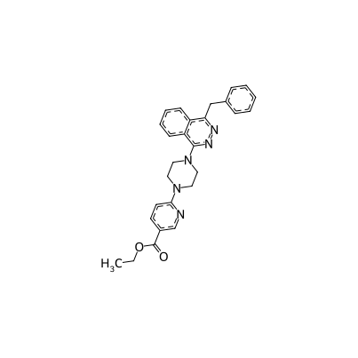 CCOC(=O)c1ccc(N2CCN(c3nnc(Cc4ccccc4)c4ccccc34)CC2)nc1